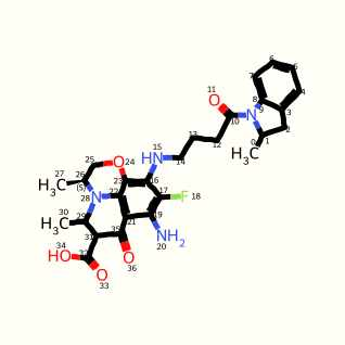 CC1Cc2ccccc2N1C(=O)CCCNc1c(F)c(N)c2c3c1OC[C@H](C)N3C(C)C(C(=O)O)C2=O